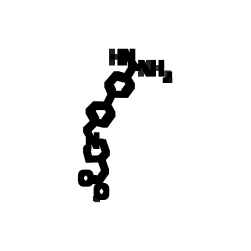 COC(=O)CC1CCN(Cc2ccc(-c3ccc(C(=N)N)cc3)cc2)CC1